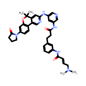 CN(C)C/C=C/C(=O)Nc1cccc(CCC(=O)Nc2cncc(Nc3cc4c(cn3)-c3ccc(N5CCCC5=O)cc3OC4(C)C)c2)c1